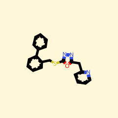 c1ccc(-c2ccccc2CSc2nnc(Cc3ccccn3)o2)cc1